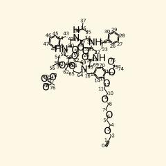 C#CCOCCOCCOCCOc1cc(C[N+]2(CC(=O)N[C@@H](CCc3ccccc3)C(=O)N[C@@H](CC(C)C)C(=O)N[C@@H](Cc3ccccc3)C(=O)N[C@@H](CC(C)C)C(=O)[C@@]3(C)CO3)CCOCC2)ccc1OC(C)=O.CS(=O)(=O)[O-]